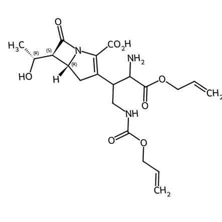 C=CCOC(=O)NCC(C1=C(C(=O)O)N2C(=O)[C@H]([C@@H](C)O)[C@H]2C1)C(N)C(=O)OCC=C